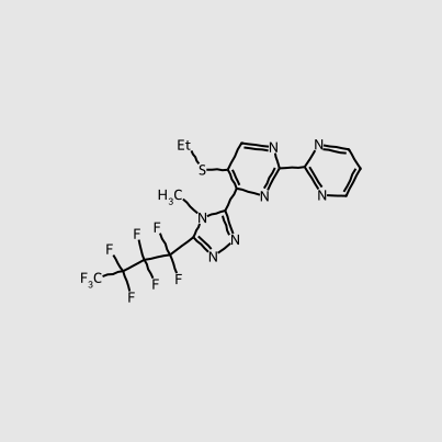 CCSc1cnc(-c2ncccn2)nc1-c1nnc(C(F)(F)C(F)(F)C(F)(F)C(F)(F)F)n1C